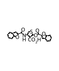 O=C(Nc1csc(OC(=O)c2cc3ccccc3o2)c1C(=O)O)c1cc2ccccc2o1